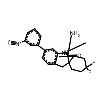 [C-]#[N+]c1cccc(-c2ccc3c(c2)C2(N=C(N)N(C)C2=O)C2(CCC(F)(F)CC2)C3)c1